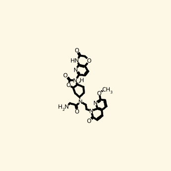 COc1ccc2ccc(=O)n(CCN(C(=O)CN)[C@H]3CC[C@H]4C(C3)OC(=O)N4c3ccc4c(n3)NC(=O)CO4)c2n1